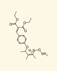 CCOC(=O)C(=Cc1ccc(OC(C)C(C)=C(C)[SiH2]O[SiH3])cc1)C(=O)OCC